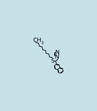 CCCCCCCCCCCSC(Cn1ccnc1)c1ccc2ccccc2c1